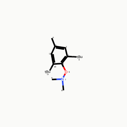 Cc1cc(C(C)(C)C)c(ON(C)C)c(C(C)(C)C)c1